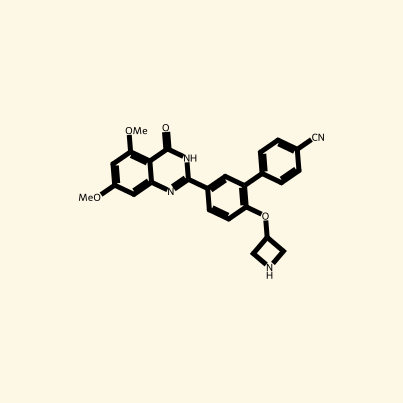 COc1cc(OC)c2c(=O)[nH]c(-c3ccc(OC4CNC4)c(-c4ccc(C#N)cc4)c3)nc2c1